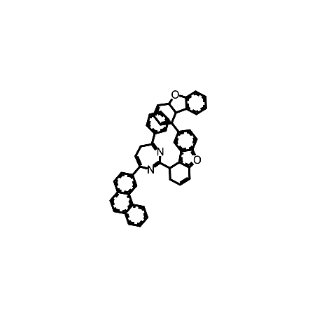 C1=CC2Oc3ccccc3C2C(c2ccc3oc4c(c3c2)C(C2=NC(c3ccc5ccc6ccccc6c5c3)=CCC(c3ccccc3)=N2)CC=C4)=C1